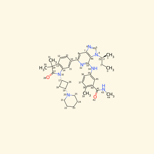 CC[C@H](C)n1cnc2cc(-c3ccc4c(c3)N([C@H]3C[C@@H](N5CCCCC5)C3)C(=O)C4(C)C)nc(Nc3ccc(C)c(C(=O)NC)c3)c21